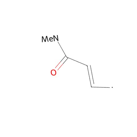 [CH2]/C=C/C(=O)NC